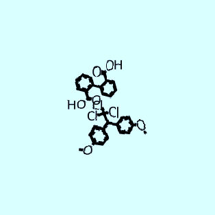 COc1ccc(C(c2ccc(OC)cc2)C(Cl)(Cl)Cl)cc1.O=C(O)c1ccccc1-c1ccccc1C(=O)O